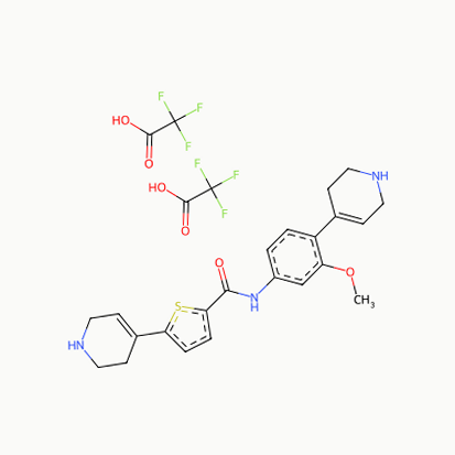 COc1cc(NC(=O)c2ccc(C3=CCNCC3)s2)ccc1C1=CCNCC1.O=C(O)C(F)(F)F.O=C(O)C(F)(F)F